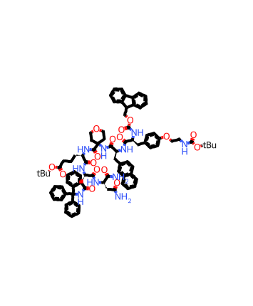 CC(C)(C)OC(=O)CCC[C@H](NC(=O)C1(NC(=O)[C@H](Cc2ccc3ccccc3c2)NC(=O)[C@H](Cc2ccc(OCCNC(=O)OC(C)(C)C)cc2)NC(=O)OCC2c3ccccc3-c3ccccc32)CCOCC1)C(=O)N[C@@H](CC(=O)NC(c1ccccc1)(c1ccccc1)c1ccccc1)C(=O)N[C@@H](CC(N)=O)C(N)=O